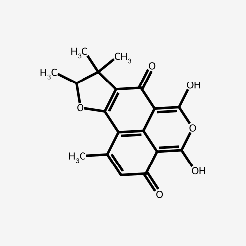 Cc1cc(=O)c2c(O)oc(O)c3c(=O)c4c(c1c23)OC(C)C4(C)C